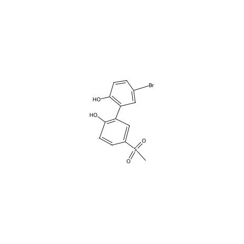 CS(=O)(=O)c1c[c]c(O)c(-c2cc(Br)ccc2O)c1